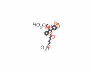 C[C@H](OC(=O)C(=C(COC(=O)CCCCCO[N+](=O)[O-])c1ccc(S(C)(=O)=O)cc1)c1ccccc1)C(=O)O